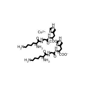 NCCCC[C@H](N)C(=O)NCC(=O)N[C@@H](Cc1c[nH]cn1)C(=O)[O-].NCCCC[C@H](N)C(=O)NCC(=O)N[C@@H](Cc1c[nH]cn1)C(=O)[O-].[Cu+2]